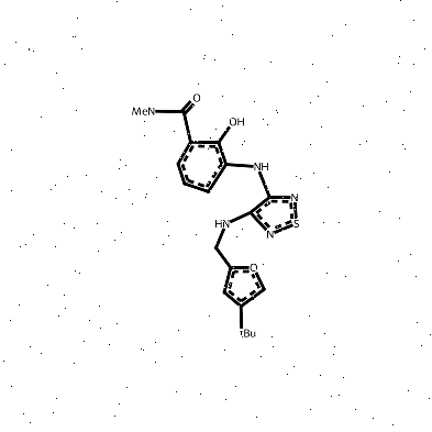 CNC(=O)c1cccc(Nc2nsnc2NCc2cc(C(C)(C)C)co2)c1O